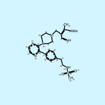 CN/C(C)=C(\C=N)CN1CCN(c2nccnc2-c2ccc(CCNS(C)(=O)=O)cc2)CC1